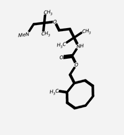 CNCC(C)(C)OCCC(C)(C)NC(=O)OCC1CCCCCCC1C